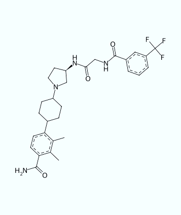 Cc1c(C(N)=O)ccc(C2CCC(N3CC[C@@H](NC(=O)CNC(=O)c4cccc(C(F)(F)F)c4)C3)CC2)c1C